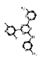 Cc1cc(-c2nc(Nc3ccnc(C(F)(F)F)c3)nc(-c3cccc(C(F)(F)F)n3)n2)c(F)cn1